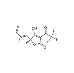 C=C/C(C)=C/[C@@]1(C)SC(=O)C(C(=O)C(F)(F)F)=C1O